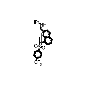 CC(C)NCc1ccc2cccc(NS(=O)(=O)c3ccc(C(F)(F)F)cc3)c2n1